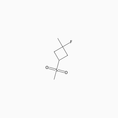 CC1(F)CC(S(C)(=O)=O)C1